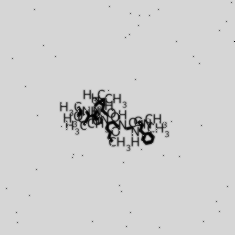 CCCCC(NC(=O)C1[C@@H]2[C@H](CN1C(=O)C(NC(C)=O)C(C)(C)C)C2(C)C)C(=O)C(=O)NCC(=O)NC(C(=O)N(C)C)c1ccccc1